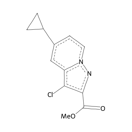 COC(=O)c1nn2ccc(C3CC3)cc2c1Cl